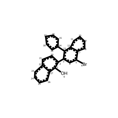 Oc1c(-c2cc(Br)c3ccccc3c2-c2ccccc2)ccc2ccccc12